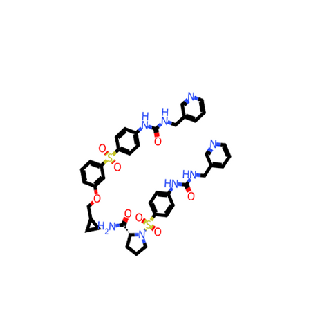 NC(=O)[C@H]1CCCN1S(=O)(=O)c1ccc(NC(=O)NCc2cccnc2)cc1.O=C(NCc1cccnc1)Nc1ccc(S(=O)(=O)c2cccc(OCC3CC3)c2)cc1